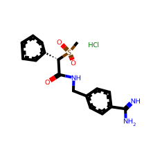 CS(=O)(=O)[C@H](C(=O)NCc1ccc(C(=N)N)cc1)c1ccccc1.Cl